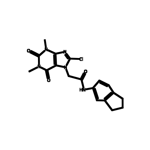 Cn1c(=O)c2c(nc(Cl)n2CC(=O)Nc2ccc3c(c2)CCC3)n(C)c1=O